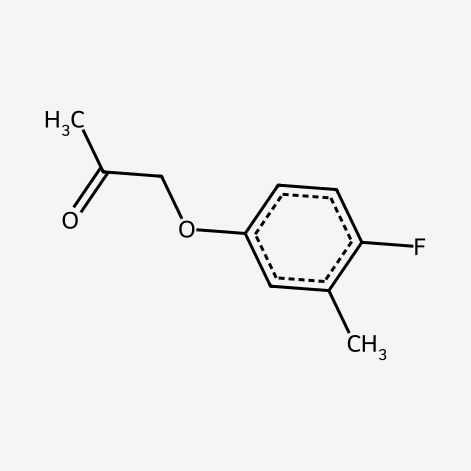 CC(=O)COc1ccc(F)c(C)c1